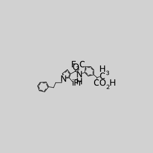 CC(C)c1c(C(=O)Nc2cc(C(C)C(=O)O)ccc2C(F)(F)F)ccn1CCCc1ccccc1